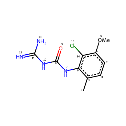 COc1ccc(C)c(NC(=O)NC(=N)N)c1Cl